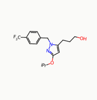 CC(C)Oc1cc(CCCO)n(Cc2ccc(C(F)(F)F)cc2)n1